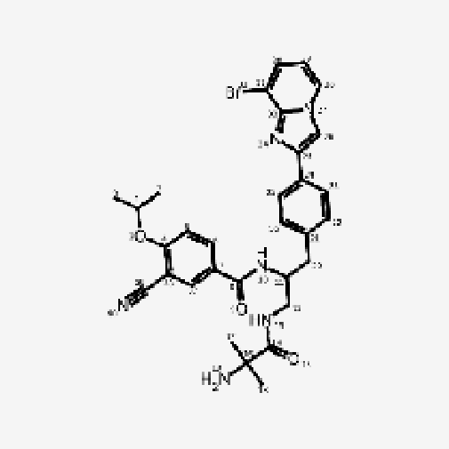 CC(C)Oc1ccc(C(=O)NC(CNC(=O)C(C)(C)N)Cc2ccc(-c3cn4cccc(Br)c4n3)cc2)cc1C#N